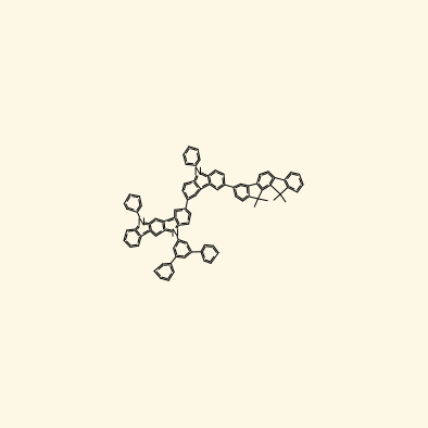 CC1(C)c2ccccc2-c2ccc3c(c21)C(C)(C)c1ccc(-c2ccc4c(c2)c2cc(-c5ccc6c(c5)c5cc7c(cc5n6-c5cc(-c6ccccc6)cc(-c6ccccc6)c5)c5ccccc5n7-c5ccccc5)ccc2n4-c2ccccc2)cc1-3